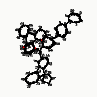 c1ccc(-c2ccc(-c3ccc(N(c4ccc5c(c4)-c4ccccc4C54CCCC4)c4ccccc4-c4ccccc4-c4ccccc4-c4ccccc4)cc3)cc2)cc1